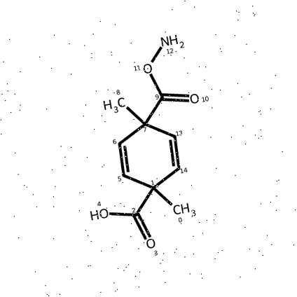 CC1(C(=O)O)C=CC(C)(C(=O)ON)C=C1